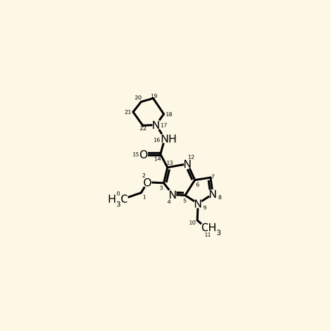 CCOc1nc2c(cnn2CC)nc1C(=O)NN1CCCCC1